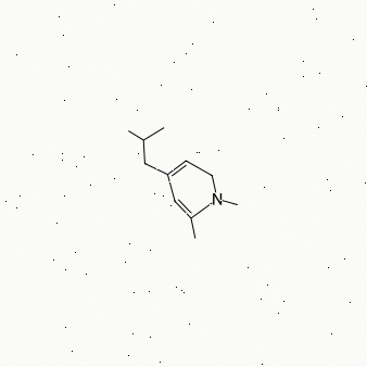 CC1=CC(CC(C)C)=CCN1C